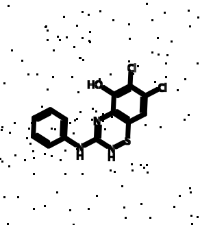 Oc1c(Cl)c(Cl)cc2c1N=C(Nc1ccccc1)NS2